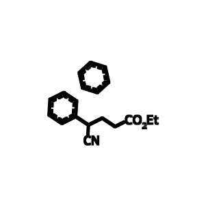 CCOC(=O)CCC(C#N)c1ccccc1.c1ccccc1